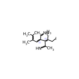 CC(=N)C(/C(C=N)=C/C(C)=C(C)C)=C(/C)CI